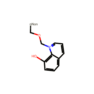 CCCCCCCCCCOC[n+]1cccc2cccc(O)c21